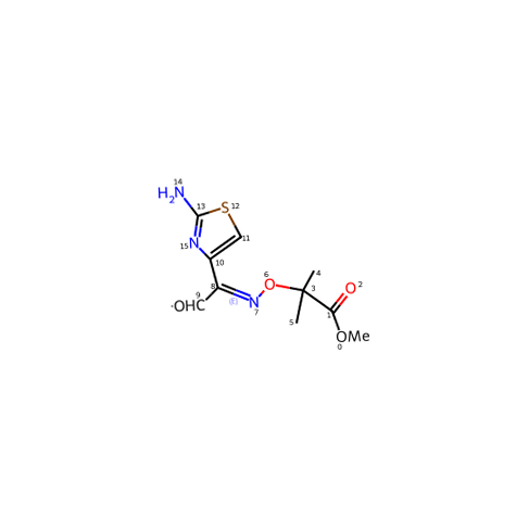 COC(=O)C(C)(C)O/N=C(/[C]=O)c1csc(N)n1